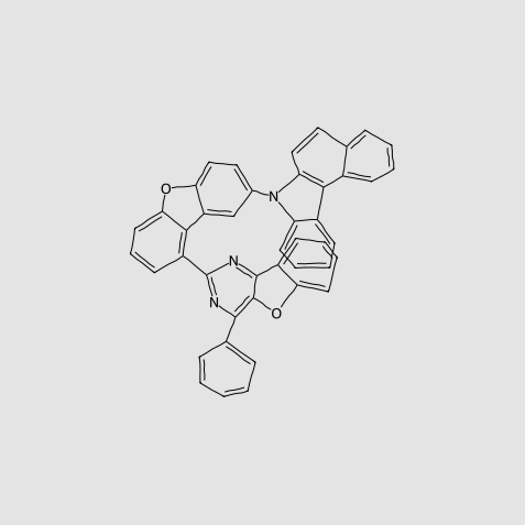 c1ccc(-c2nc(-c3cccc4oc5ccc(-n6c7ccccc7c7c8ccccc8ccc76)cc5c34)nc3c2oc2ccccc23)cc1